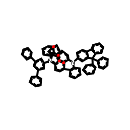 c1ccc(-c2ccc(N(c3ccc4c(c3)C(c3ccccc3)(c3ccccc3)c3ccccc3-4)c3ccccc3-c3ccc4c(c3)c3ccccc3n4-c3cc(-c4ccccc4)cc(-c4ccccc4)c3)cc2)cc1